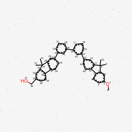 COc1ccc2c(c1)C(C)(C)c1cc(-c3cccc(-c4cccc(-c5ccc6c(c5)C(C)(C)c5cc(CO)ccc5-6)c4)c3)ccc1-2